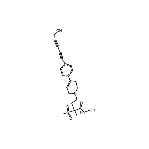 CC(CCN1CC=C(c2ccc(C#CC#CCO)cc2)CC1)(C(=O)NO)S(C)(=O)=O